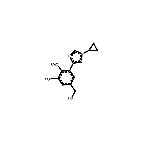 COc1c(-c2ncn(C3CC3)n2)cc(CO)cc1[N+](=O)[O-]